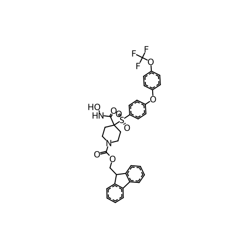 O=C(OCC1c2ccccc2-c2ccccc21)N1CCC(C(=O)NO)(S(=O)(=O)c2ccc(Oc3ccc(OC(F)(F)F)cc3)cc2)CC1